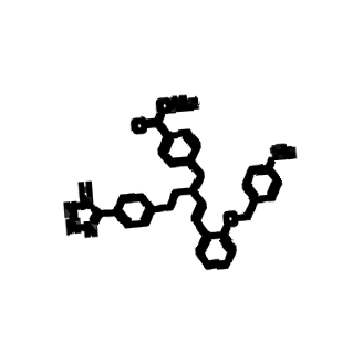 COC(=O)c1ccc(CC(C=Cc2ccccc2OCc2ccc(C(C)(C)C)cc2)CCc2ccc(-c3nnn[nH]3)cc2)cc1